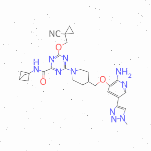 Cn1cc(-c2cnc(N)c(OCC3CCN(c4nc(OCC5(C#N)CC5)nc(C(=O)NC56CC(C5)C6)n4)CC3)c2)nn1